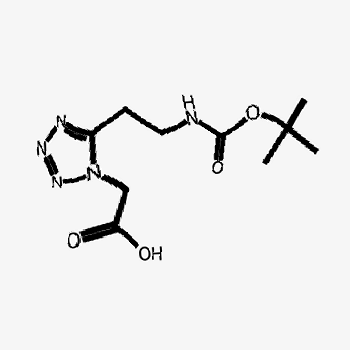 CC(C)(C)OC(=O)NCCc1nnnn1CC(=O)O